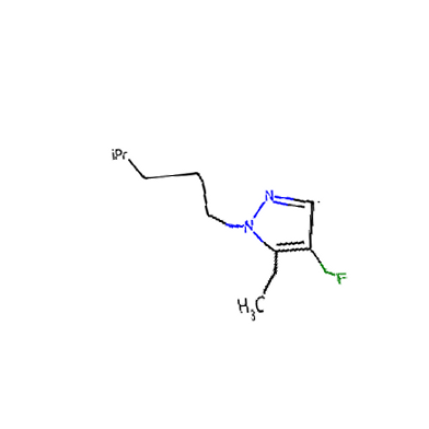 Cc1c(F)[c]nn1CCCC(C)C